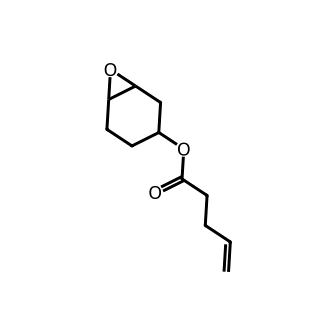 C=CCCC(=O)OC1CCC2OC2C1